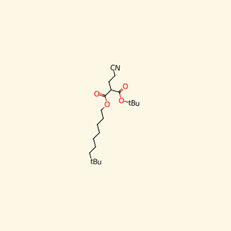 CC(C)(C)CCCCCCCOC(=O)C(CCC#N)C(=O)OC(C)(C)C